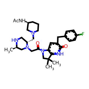 CC(=O)N[C@H]1CCCN(C[C@H]2CN[C@H](C)CN2CC(=O)N2CC(C)(C)c3[nH]c(=O)c(Cc4ccc(F)cc4)cc32)C1